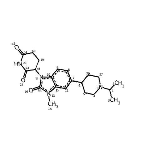 CC(C)N1CCC(c2ccc3c(c2)n(C)c(=O)n3C2CCC(=O)NC2=O)CC1